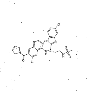 CS(=O)(=O)NCC[C@H](Nc1ncnc2cc(C(=O)N3CC=CC3)c(Cl)cc12)c1nc2cc(Cl)ccc2[nH]1